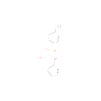 Cc1ccc(S(=O)(=O)C(O)C(=O)c2ccccc2)cc1